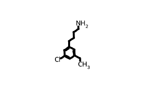 CCc1cc(Cl)cc(CCCCN)c1